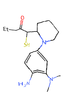 CCC(=O)C(S)C1CCCCN1c1ccc(N)c(N(C)C)c1